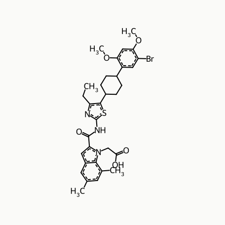 CCc1nc(NC(=O)c2cc3cc(C)cc(C)c3n2CC(=O)O)sc1C1CCC(c2cc(Br)c(OC)cc2OC)CC1